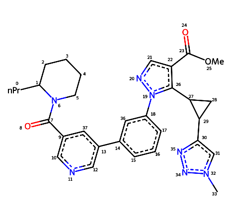 CCCC1CCCCN1C(=O)c1cncc(-c2cccc(-n3ncc(C(=O)OC)c3C3CC3c3cn(C)nn3)c2)c1